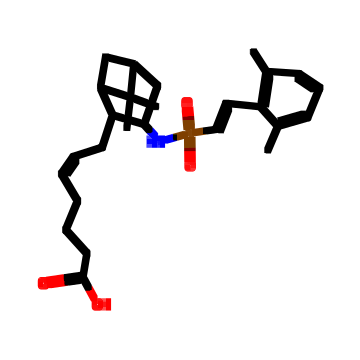 Cc1cccc(C)c1C=CS(=O)(=O)NC1CC2CC(C1C/C=C\CCCC(=O)O)C2(C)C